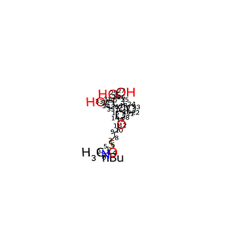 CCCCN(C)C(=O)CSCCCCCOc1ccc(C2=C(c3ccccc3)CC(O)=C(O)c3cc(O)ccc32)cc1